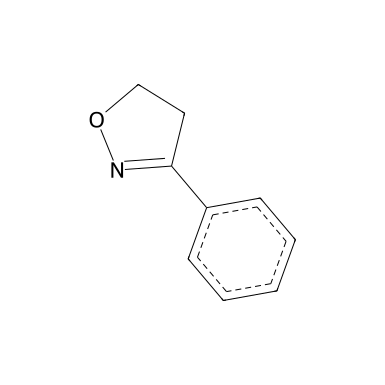 c1ccc(C2=NOCC2)cc1